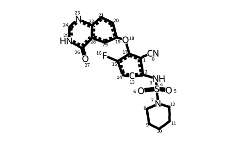 N#Cc1c(NS(=O)(=O)N2CCCCC2)ccc(F)c1Oc1ccc2nc[nH]c(=O)c2c1